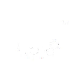 CCN(C)S(=O)(=O)Nc1ccc(F)c(C(=O)c2ccc3ncn(C4COC5(CCNCC5)C4)c(=O)c3c2)c1F